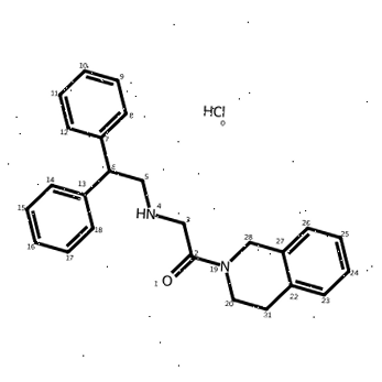 Cl.O=C(CNCC(c1ccccc1)c1ccccc1)N1CCc2ccccc2C1